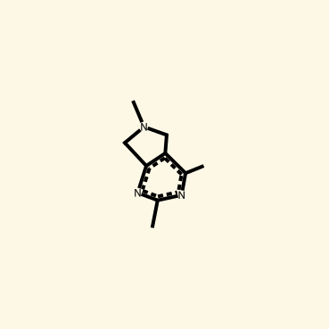 Cc1nc(C)c2c(n1)CN(C)C2